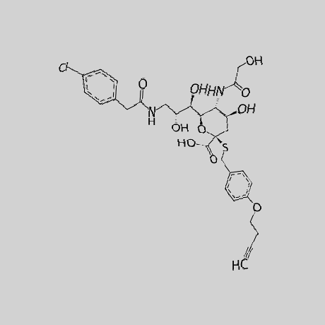 C#CCCOc1ccc(CS[C@]2(C(=O)O)C[C@H](O)[C@@H](NC(=O)CO)[C@H]([C@H](O)[C@H](O)CNC(=O)Cc3ccc(Cl)cc3)O2)cc1